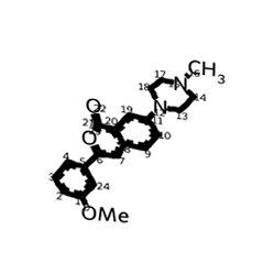 COc1cccc(-c2cc3ccc(N4CCN(C)CC4)cc3c(=O)o2)c1